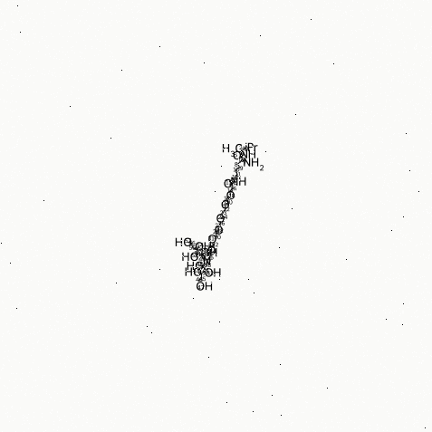 CC(C)C(C)NC(=O)[C@@H](N)CCCCCNC(=O)CCOCCOCCCOCCOCCOCCOCCN(CC(O)C(O)C(O)CCO)CC(O)C(O)C(O)CCO